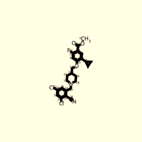 COC(=O)c1cc(C2CC2)c(OCC2CCN(Cc3cc(Cl)cc(Cl)c3C#N)CC2)cc1F